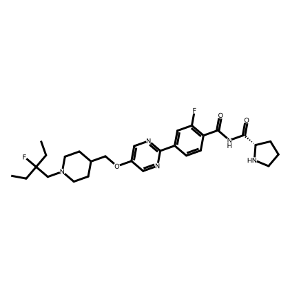 CCC(F)(CC)CN1CCC(COc2cnc(-c3ccc(C(=O)NC(=O)[C@@H]4CCCN4)c(F)c3)nc2)CC1